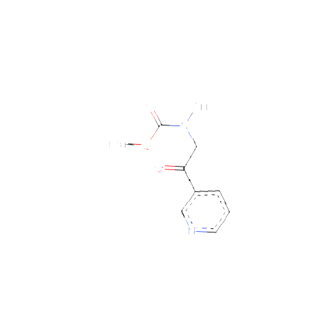 CN(CC(=O)c1cccnc1)C(=O)OC(C)(C)C